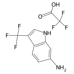 Nc1ccc2c(C(F)(F)F)c[nH]c2c1.O=C(O)C(F)(F)F